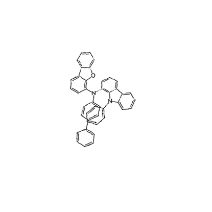 c1ccc(-c2ccc(N(c3cccc4c3oc3ccccc34)c3cccc4c5ccccc5n(-c5ccccc5)c34)cc2)cc1